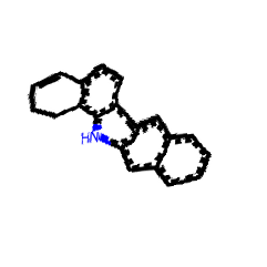 C1=Cc2ccc3c([nH]c4cc5ccccc5cc43)c2CC1